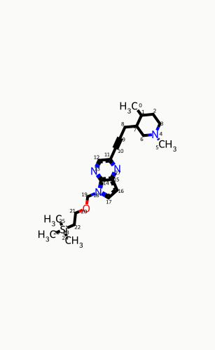 CC1CCN(C)CC1CC#Cc1cnc2c(ccn2COCC[Si](C)(C)C)n1